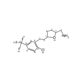 NCC1CCC(CCc2cc(C(F)(F)F)ccc2Cl)O1